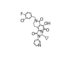 O=C1c2c(c3n(c(=O)c2O)C(C2CC2)N(c2cccnc2)C3=O)CCN1Cc1ccc(F)c(Cl)c1